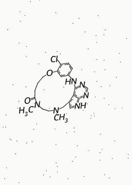 CN1CCN(C)C(=O)CCCOc2cc(ccc2Cl)Nc2ncnc3[nH]cc(c23)C1